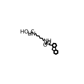 O=C(O)NCCCCCCNC(=O)OCc1cccc2c1Cc1ccccc1-2